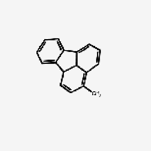 CC1=C2C=CC=C3c4ccccc4C(C=C1)C32